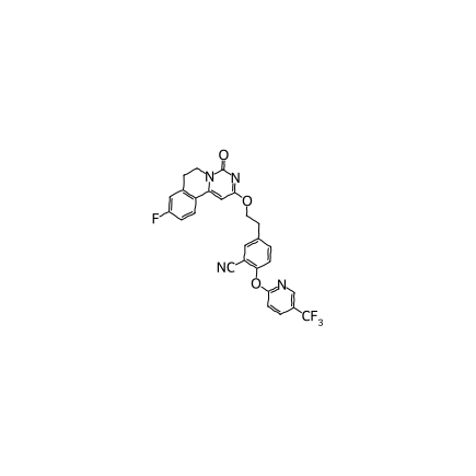 N#Cc1cc(CCOc2cc3n(c(=O)n2)CCc2cc(F)ccc2-3)ccc1Oc1ccc(C(F)(F)F)cn1